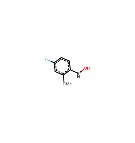 COc1cc(F)ccc1BO